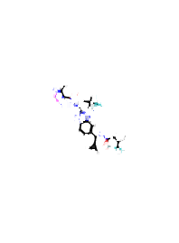 Cc1nonc1C(=O)N[C@@H](CC(C)(C)C(F)(F)F)c1nc2ccc([C@H](NC(=O)C[C@@H](C)C(F)(F)F)C3CC3)cc2[nH]1